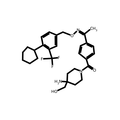 CC(=NOCc1ccc(C2CCCCC2)c(C(F)(F)F)c1)c1ccc(C(=O)N2CCC(N)(CO)CC2)cc1